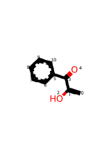 C=C(O)C(=O)c1ccccc1